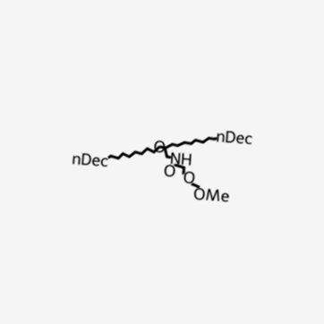 CCCCCCCCCCCCCCCCCCOC(CCCCCCCCCCCCCCCCCC)CNC(=O)CCOCCOC